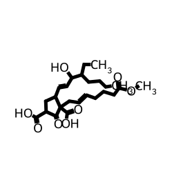 CCCCC(CC)C(O)C=CC1CC(C(=O)O)C(=O)C1(CC=CCCCC(=O)OC)C(=O)O